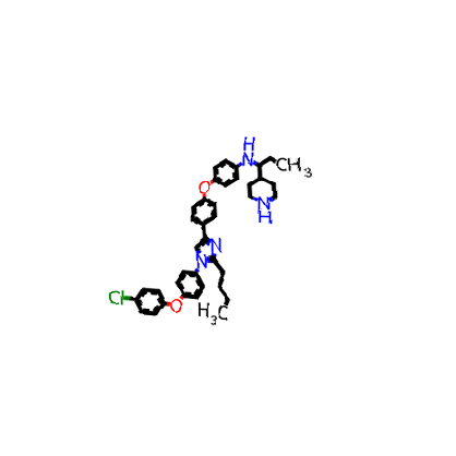 CCCCc1nc(-c2ccc(Oc3ccc(NC(CC)C4CCNCC4)cc3)cc2)cn1-c1ccc(Oc2ccc(Cl)cc2)cc1